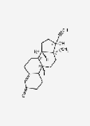 C#C[C@]1(O)CC[C@H]2[C@@H]3CCC4=CC(=O)CCC4[C@H]3CC[C@@]21CC